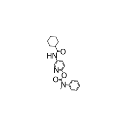 CN(C(=O)Oc1ccc(NC(=O)C2CCCCC2)cn1)c1ccccc1